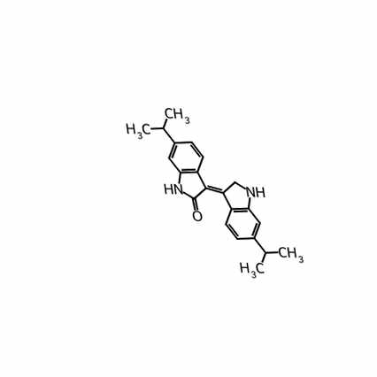 CC(C)c1ccc2c(c1)NC/C2=C1/C(=O)Nc2cc(C(C)C)ccc21